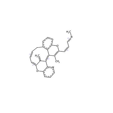 C=C1/C2=C3C(C)=C(/C=C\C=N\C)Oc4cccc(c4/3)C/C=C\C=C/1Oc1cccnc12